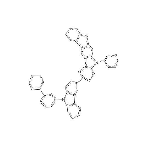 c1ccc(-c2cccc(-n3c4ccccc4c4cc(-c5ccc6c(c5)c5cc7c(cc5n6-c5ccccc5)sc5ccccc57)ccc43)c2)cc1